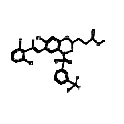 COC(=O)CCC1CN(S(=O)(=O)c2cccc(C(F)(F)F)c2)c2cc(/C=C(\C)c3c(F)cccc3Cl)c(Cl)cc2O1